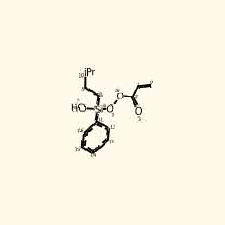 C=CC(=O)OO[Si](O)(CCC(C)C)c1ccccc1